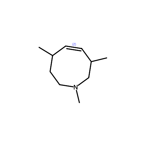 CC1/C=C\C(C)CN(C)CC1